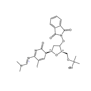 CN(C)/C=N/c1nc(=O)n([C@H]2CC(ON3C(=O)c4ccccc4C3=O)[C@@H](CO[Si](C)(C)C(C)(C)C)O2)cc1I